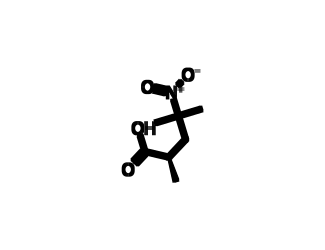 C[C@H](CC(C)(C)[N+](=O)[O-])C(=O)O